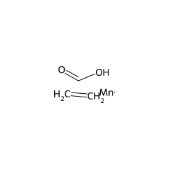 C=C.O=CO.[Mn]